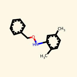 Cc1ccc(C)c(NOCc2ccccc2)c1